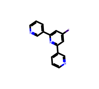 Ic1cc(-c2cccnc2)nc(-c2cccnc2)c1